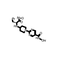 COC(=O)[C@H](CC(C)C)NC1CCN(c2ncc(C(=O)NO)cn2)CC1